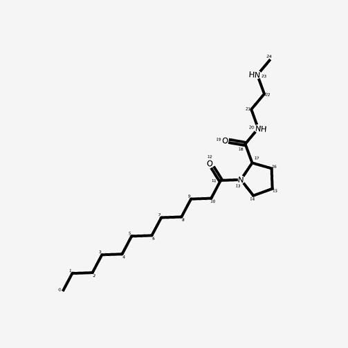 CCCCCCCCCCCC(=O)N1CCCC1C(=O)NCCNC